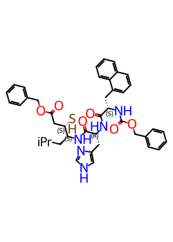 CC(C)C[C@H](NC(=O)[C@@H](Cc1c[nH]cn1)NC(=O)[C@H](Cc1cccc2ccccc12)NC(=O)OCc1ccccc1)[C@@H](S)CC(=O)OCc1ccccc1